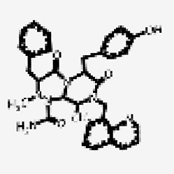 CC1C2N(C(=O)C(Cc3ccccc3)N(C)N2C(N)=O)C(Cc2ccc(O)cc2)C(=O)N1Cc1cccc2cccnc12